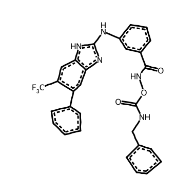 O=C(NCc1ccccc1)ONC(=O)c1cccc(Nc2nc3cc(-c4ccccc4)c(C(F)(F)F)cc3[nH]2)c1